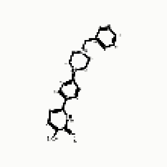 N#Cc1ccc(-c2ccc(N3CCN(Cc4ccccc4)CC3)cc2)[nH]c1=O